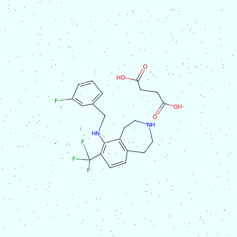 Fc1cccc(CNc2c(C(F)(F)F)ccc3c2CCNCC3)c1.O=C(O)CCC(=O)O